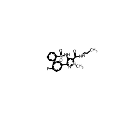 CCCNC(=O)c1c(NS(=O)(=O)c2ccccc2)c(-c2ccc(F)cc2)nn1C